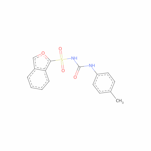 Cc1ccc(NC(=O)NS(=O)(=O)c2occ3ccccc23)cc1